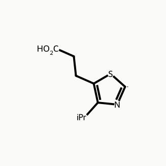 CC(C)c1n[c]sc1CCC(=O)O